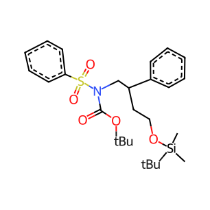 CC(C)(C)OC(=O)N(CC(CCO[Si](C)(C)C(C)(C)C)c1ccccc1)S(=O)(=O)c1ccccc1